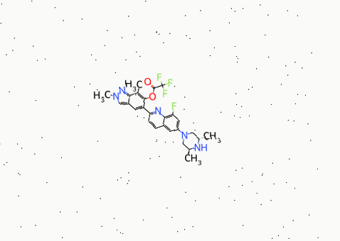 Cc1c(OC(=O)C(F)(F)F)c(-c2ccc3cc(N4C[C@H](C)N[C@@H](C)C4)cc(F)c3n2)cc2cn(C)nc12